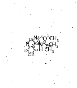 CCOCc1nc2cnc3ccccc3c2n1NCC(C)C